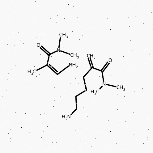 C=C(CCCCN)C(=O)N(C)C.CC(=CN)C(=O)N(C)C